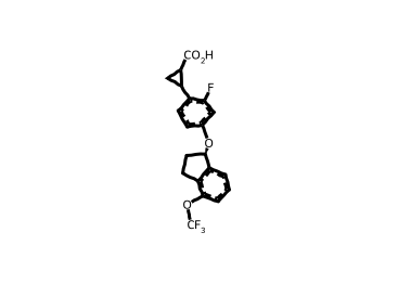 O=C(O)C1CC1c1ccc(O[C@@H]2CCc3c(OC(F)(F)F)cccc32)cc1F